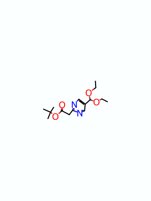 CCOC(OCC)c1cnc(CC(=O)OC(C)(C)C)nc1